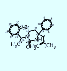 C=C(C)C[C@]1(c2ccccc2)CCN(C(C)c2ccccc2Br)C(=O)N1